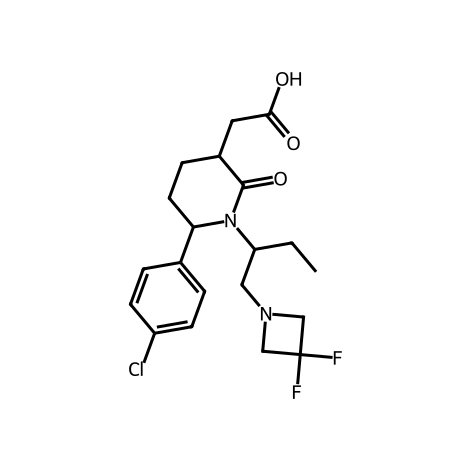 CCC(CN1CC(F)(F)C1)N1C(=O)C(CC(=O)O)CCC1c1ccc(Cl)cc1